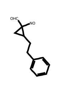 O=CC1(N=O)CC1CCc1ccccc1